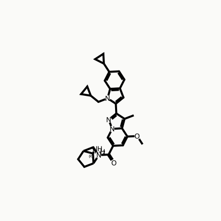 COc1cc(C(=O)N2CC3CCC2[C@@H]3N)cn2nc(-c3cc4ccc(C5CC5)cc4n3CC3CC3)c(C)c12